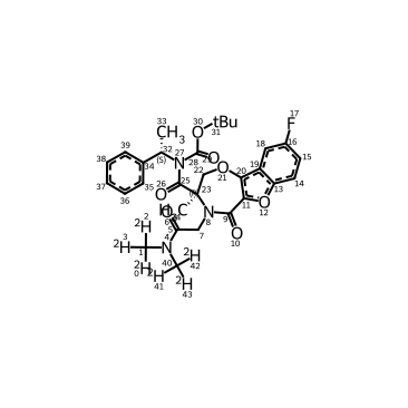 [2H]C([2H])([2H])N(C(=O)CN1C(=O)c2oc3ccc(F)cc3c2OC[C@]1(C)C(=O)N(C(=O)OC(C)(C)C)[C@@H](C)c1ccccc1)C([2H])([2H])[2H]